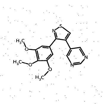 COc1cc(-c2nscc2-c2cncnc2)cc(OC)c1OC